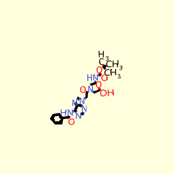 CC(C)(C)OC(=O)NCCN(CC(=O)O)C(=O)Cn1cnc2c(NC(=O)c3ccccc3)ncnc21